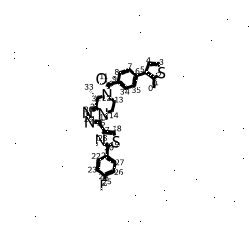 Cc1sccc1-c1ccc(C(=O)N2CCn3c(-c4csc(-c5ccc(F)cc5)n4)nnc3[C@@H]2C)cc1